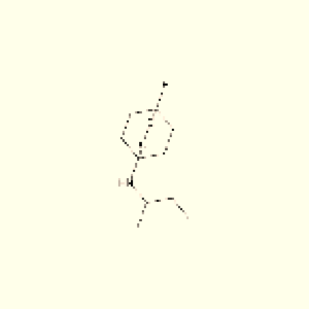 CCC(C)NC12CCC(F)(CC1)CC2